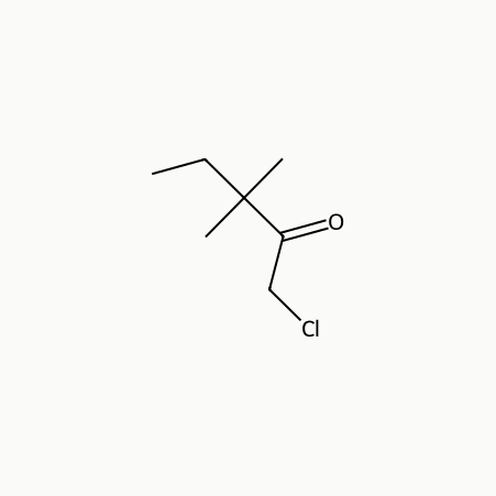 CCC(C)(C)C(=O)CCl